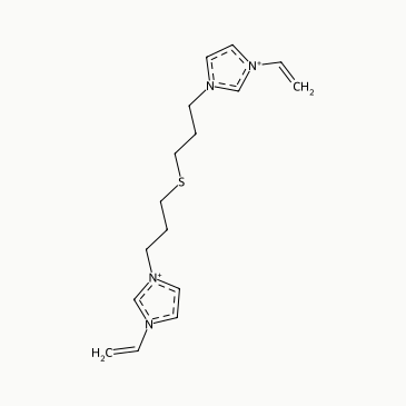 C=Cn1cc[n+](CCCSCCCn2cc[n+](C=C)c2)c1